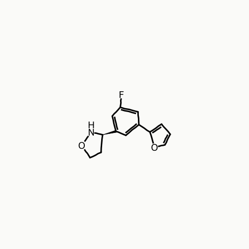 Fc1cc(-c2ccco2)cc([C@H]2CCON2)c1